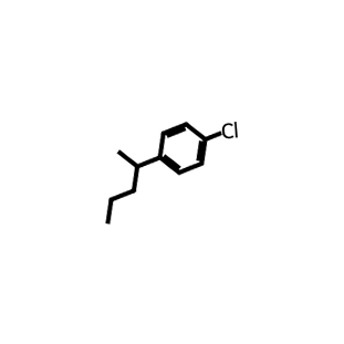 CCCC(C)c1ccc(Cl)cc1